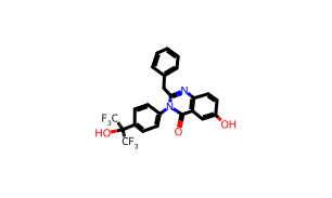 O=c1c2cc(O)ccc2nc(Cc2ccccc2)n1-c1ccc(C(O)(C(F)(F)F)C(F)(F)F)cc1